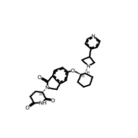 O=C1CC[C@H](N2Cc3cc(O[C@@H]4CCCC[C@H]4N4CC(c5ccncc5)C4)ccc3C2=O)C(=O)N1